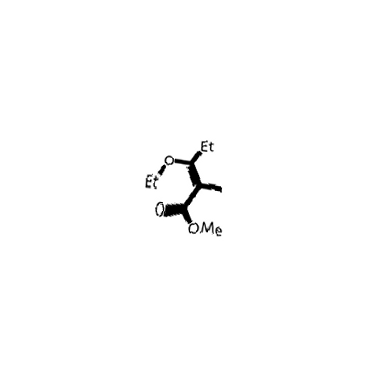 CCOC(CC)=C(C)C(=O)OC